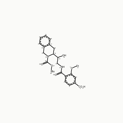 CCOc1cc(C(=O)O)ccc1C(=O)NCC(O)C1Cc2ccccc2CN1C(=O)OC(C)(C)C